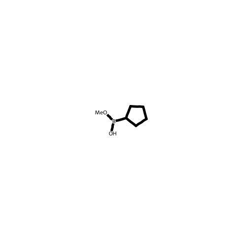 COB(O)C1CCCC1